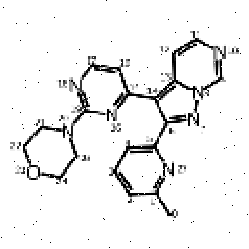 Cc1cccc(-c2nn3cnccc3c2-c2ccnc(N3CCOCC3)n2)n1